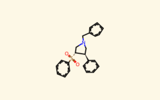 O=S(=O)(c1ccccc1)[C@@H]1CN(Cc2ccccc2)C[C@H]1c1ccccc1